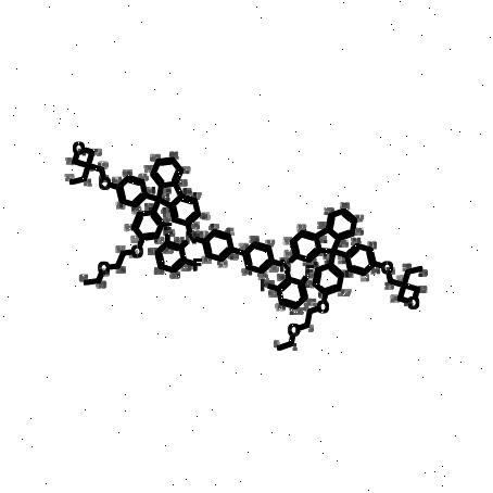 CCOCCOc1ccc(C2(c3ccc(OCC4(CC)COC4)cc3)c3ccccc3-c3ccc(N(c4ccc(-c5ccc(N(c6ccc7c(c6)C(c6ccc(OCCOCC)cc6)(c6ccc(OCC8(CC)COC8)cc6)c6ccccc6-7)c6c(F)cccc6F)cc5)cc4)c4c(F)cccc4F)cc32)cc1